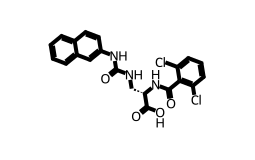 O=C(NC[C@H](NC(=O)c1c(Cl)cccc1Cl)C(=O)O)Nc1ccc2ccccc2c1